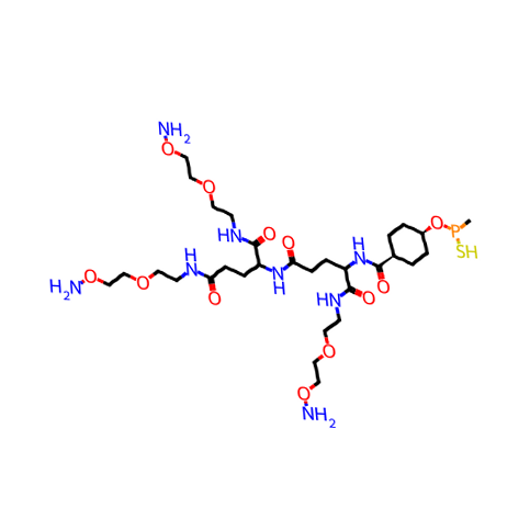 CP(S)O[C@H]1CC[C@@H](C(=O)NC(CCC(=O)NC(CCC(=O)NCCOCCON)C(=O)NCCOCCON)C(=O)NCCOCCON)CC1